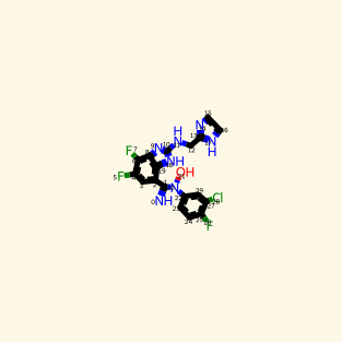 N=C(c1cc(F)c(F)c2nc(NCc3ncc[nH]3)[nH]c12)N(O)c1ccc(F)c(Cl)c1